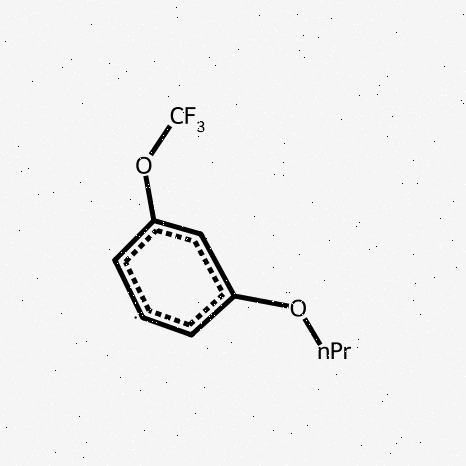 CCCOc1c[c]cc(OC(F)(F)F)c1